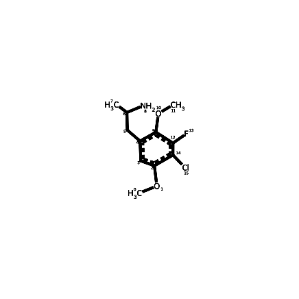 COc1cc(CC(C)N)c(OC)c(F)c1Cl